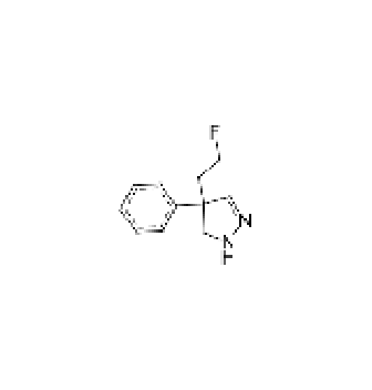 FCCC1(c2ccccc2)C=NNC1